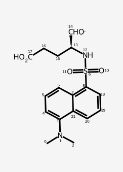 CN(C)c1cccc2c(S(=O)(=O)N[C@H]([C]=O)CCC(=O)O)cccc12